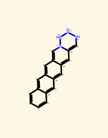 c1ccc2cc3cc4cn5[nH][nH][nH]cc5cc4cc3cc2c1